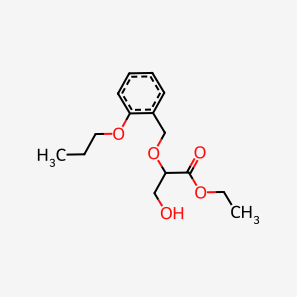 CCCOc1ccccc1COC(CO)C(=O)OCC